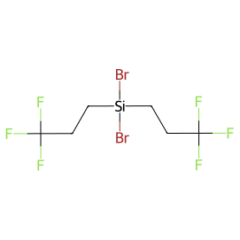 FC(F)(F)CC[Si](Br)(Br)CCC(F)(F)F